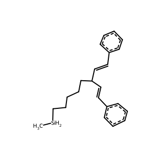 C[SiH2]CCCCCC(C=Cc1ccccc1)C=Cc1ccccc1